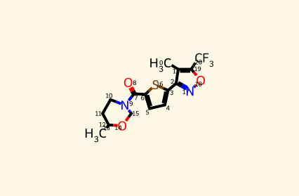 Cc1c(-c2ccc(C(=O)N3CCC(C)OC3)s2)noc1C(F)(F)F